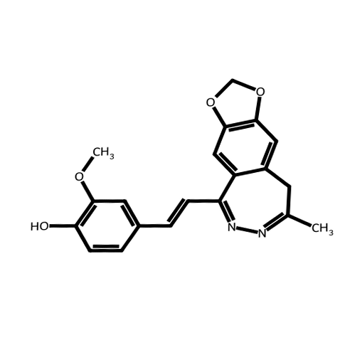 COc1cc(/C=C/C2=NN=C(C)Cc3cc4c(cc32)OCO4)ccc1O